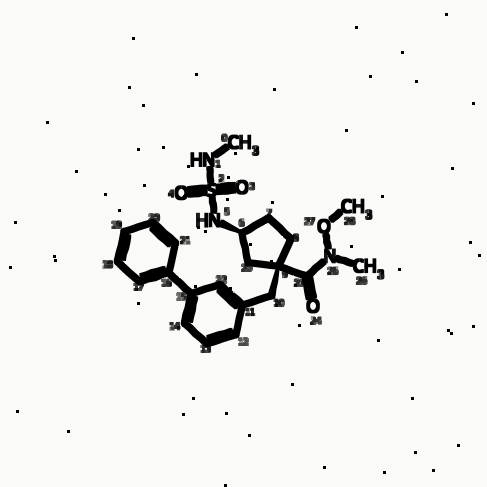 CNS(=O)(=O)N[C@H]1CC[C@](Cc2cccc(-c3ccccc3)c2)(C(=O)N(C)OC)C1